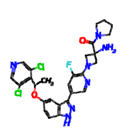 C[C@@H](Oc1ccc2[nH]nc(-c3cnc(N4CC(N)(C(=O)N5CCCC5)C4)c(F)c3)c2c1)c1c(Cl)cncc1Cl